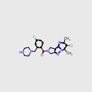 Cc1nc2c3c(nn2c(C)c1Cl)CN(C(=O)c1ccc(F)cc1CN1CCNCC1)C3